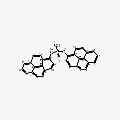 O=P(O)(Oc1ccc2ccc3cccc4ccc1c2c34)Oc1ccc2ccc3cccc4ccc1c2c34